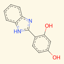 Oc1ccc(-c2nc3ccccc3[nH]2)c(O)c1